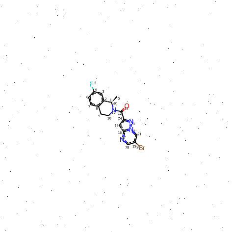 C[C@@H]1c2cc(F)ccc2CCN1C(=O)c1cc2ncc(Br)cn2n1